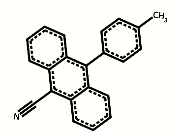 Cc1ccc(-c2c3ccccc3c(C#N)c3ccccc23)cc1